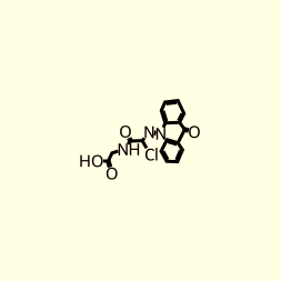 O=C(O)CNC(=O)C(Cl)N=Nc1ccccc1C(=O)c1ccccc1